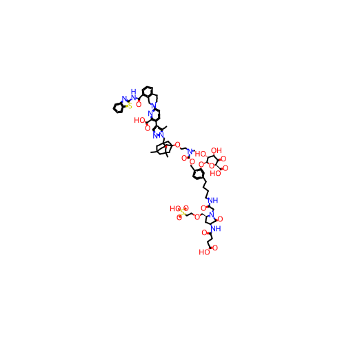 Cc1c(-c2ccc(N3CCc4cccc(C(=O)Nc5nc6ccccc6s5)c4C3)nc2C(=O)O)cnn1CC12CC3(C)CC(C)(C1)CC(OCCN(C)C(=O)OCc1ccc(CCCCNC(=O)CN4C(=O)[C@@H](NC(=O)CCC(=O)O)C[C@H]4COCCS(=O)(=O)O)cc1O[C@@H]1O[C@H](C(=O)O)C(=O)[C@H](O)[C@H]1O)(C3)C2